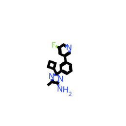 CC1=NC(c2cccc(-c3cncc(F)c3)c2)(C2CCC2)N=C1N